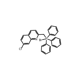 Clc1ccc2ccc(CP(Br)(c3ccccc3)(c3ccccc3)c3ccccc3)nc2c1